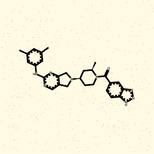 Cc1cc(C)cc(Nc2ncc3c(n2)CN([C@@H]2CCN(C(=O)c4ccc5[nH]nnc5c4)[C@H](C)C2)C3)c1